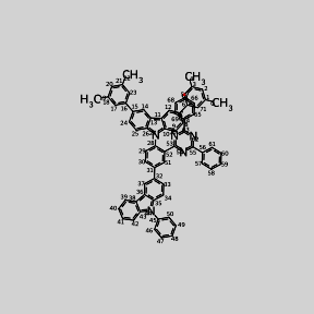 Cc1cc(C)cc(-c2ccc3c(c2)c2cc(-c4cc(C)cc(C)c4)ccc2n3-c2ccc(-c3ccc4c(c3)c3ccccc3n4-c3ccccc3)cc2-c2nc(-c3ccccc3)nc(-c3ccccc3)n2)c1